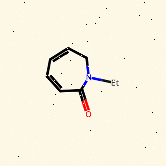 CCN1CC=CC=CC1=O